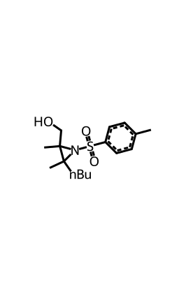 CCCCC1(C)N(S(=O)(=O)c2ccc(C)cc2)C1(C)CO